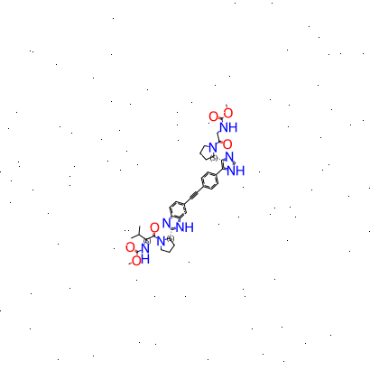 COC(=O)NCC(=O)N1CCC[C@H]1c1nc[nH]c1-c1ccc(C#Cc2ccc3nc([C@@H]4CCCN4C(=O)[C@@H](NC(=O)OC)C(C)C)[nH]c3c2)cc1